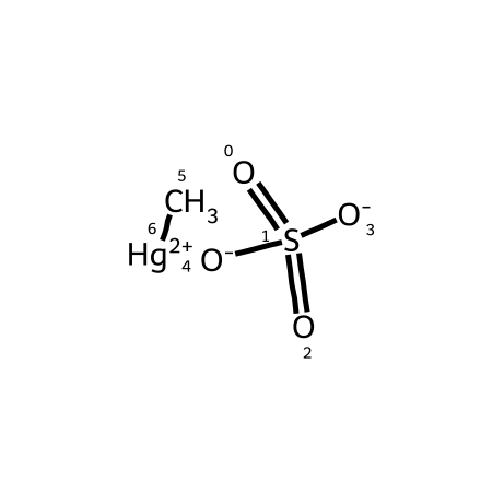 O=S(=O)([O-])[O-].[CH3][Hg+2]